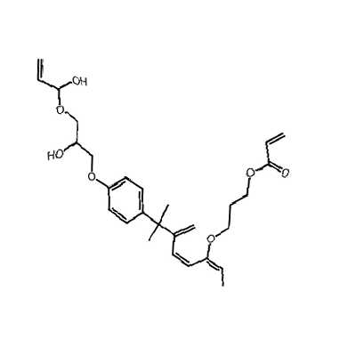 C=CC(=O)OCCCOC(/C=C\C(=C)C(C)(C)c1ccc(OCC(O)COC(O)C=C)cc1)=C/C